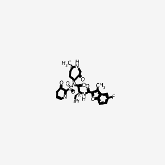 Cc1c(C(=O)N[C@@H](CC(C)C)C(=O)N([C@H]2CC[C@@H](C)NCC2=O)S(=O)(=O)C2=NC=CCC2=O)oc2ccc(F)cc12